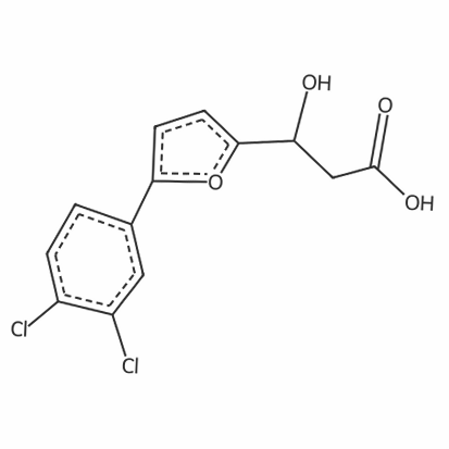 O=C(O)CC(O)c1ccc(-c2ccc(Cl)c(Cl)c2)o1